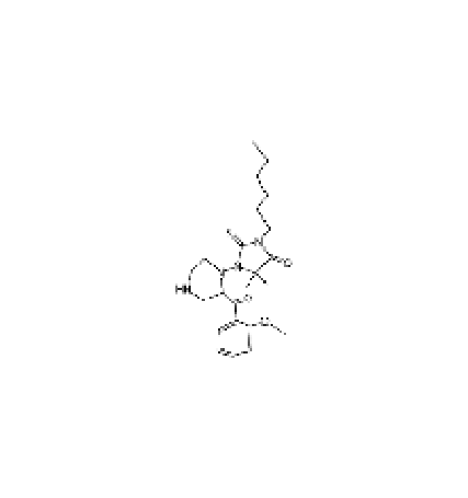 CCCCCCN1C(=O)C(C)(C)N(N2CCNCC2C(=O)c2ccccc2OC)C1=S